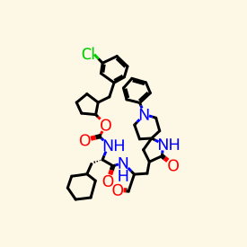 O=CC(CC1CC2(CCN(c3ccccc3)CC2)NC1=O)NC(=O)[C@H](CC1CCCCC1)NC(=O)OC1CCCC1Cc1cccc(Cl)c1